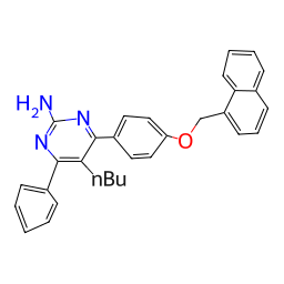 CCCCc1c(-c2ccccc2)nc(N)nc1-c1ccc(OCc2cccc3ccccc23)cc1